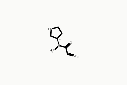 C=CC(=O)N(C)[C@@H]1CCNC1